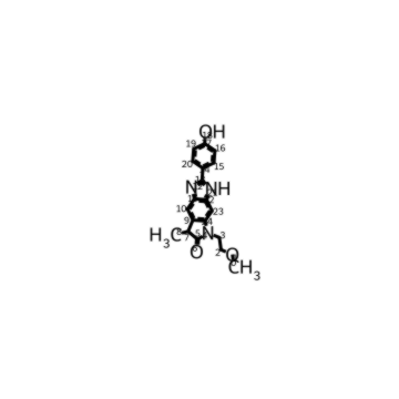 COCCN1C(=O)C(C)c2cc3nc(-c4ccc(O)cc4)[nH]c3cc21